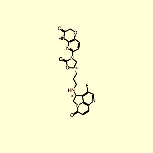 O=C1COc2ccc(N3C[C@H](CCCN[C@@H]4Cn5c(=O)ccc6ncc(F)c4c65)OC3=O)nc2N1